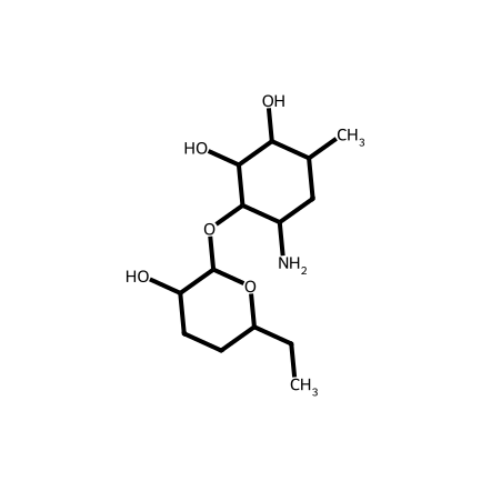 CCC1CCC(O)C(OC2C(N)CC(C)C(O)C2O)O1